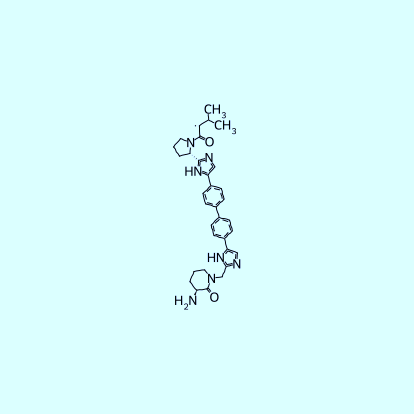 CC(C)[CH]C(=O)N1CCC[C@H]1c1ncc(-c2ccc(-c3ccc(-c4cnc(CN5CCC[C@H](N)C5=O)[nH]4)cc3)cc2)[nH]1